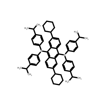 CC(C)c1ccc(N(c2ccc(C(C)C)cc2)c2c3ccc(C4CCCCC4)cc3c(N(c3ccc(C(C)C)cc3)c3ccc(C(C)C)cc3)c3ccc(C4CCCCC4)cc23)cc1